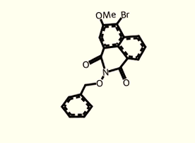 COc1cc2c3c(cccc3c1Br)C(=O)N(OCc1ccccc1)C2=O